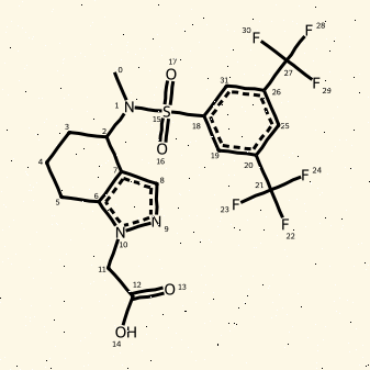 CN(C1CCCc2c1cnn2CC(=O)O)S(=O)(=O)c1cc(C(F)(F)F)cc(C(F)(F)F)c1